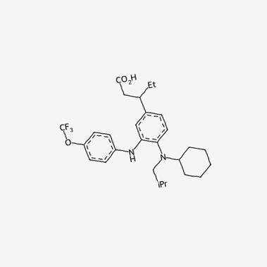 CCC(CC(=O)O)c1ccc(N(CC(C)C)C2CCCCC2)c(Nc2ccc(OC(F)(F)F)cc2)c1